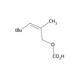 CC(=CC(C)(C)C)COC(=O)O